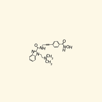 CN(C)CCn1c(C(=O)NCC#Cc2ccc(C(=O)NO)cc2)nc2ccccc21